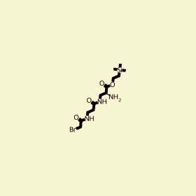 C[Si](C)(C)CCOC(=O)[C@H](N)CNC(=O)CCNC(=O)CBr